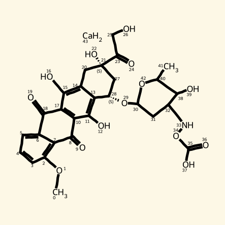 COc1cccc2c1C(=O)c1c(O)c3c(c(O)c1C2=O)C[C@@](O)(C(=O)CO)C[C@@H]3OC1CC(NOC(=O)O)C(O)C(C)O1.[CaH2]